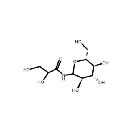 O=C(NC1O[C@H](CO)[C@@H](O)[C@H](O)[C@H]1O)C(O)CO